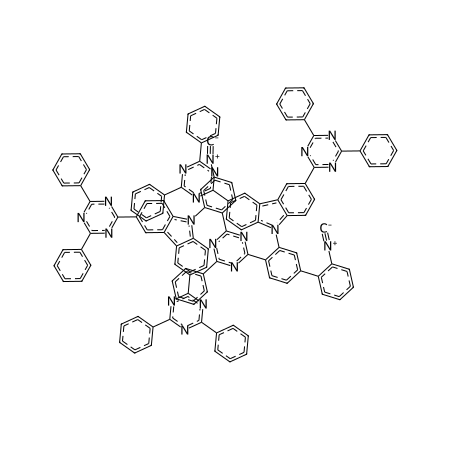 [C-]#[N+]c1ccc(-c2nc(-c3ccccc3)nc(-c3ccc(-c4ccccc4[N+]#[C-])cc3-n3c4ccc(-c5nc(-c6ccccc6)nc(-c6ccccc6)n5)cc4c4cc(-c5nc(-c6ccccc6)nc(-c6ccccc6)n5)ccc43)n2)c(-n2c3ccc(-c4nc(-c5ccccc5)nc(-c5ccccc5)n4)cc3c3cc(-c4nc(-c5ccccc5)nc(-c5ccccc5)n4)ccc32)c1